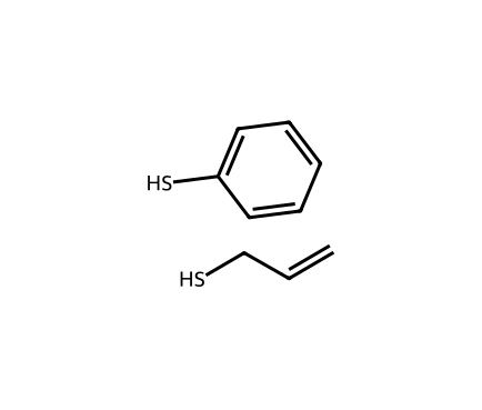 C=CCS.Sc1ccccc1